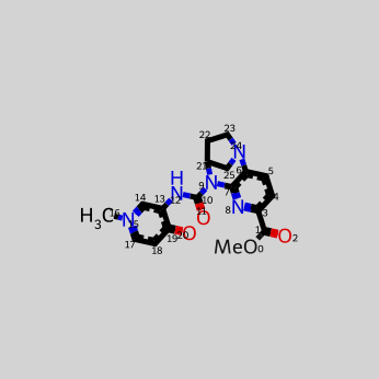 COC(=O)c1ccc2c(n1)N(C(=O)Nc1cn(C)ccc1=O)C1CCN2C1